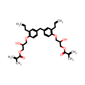 C=CCc1cc(Cc2ccc(OCC(O)COC(=O)C(=C)C)c(CC=C)c2)ccc1OCC(O)COC(=O)C(=C)C